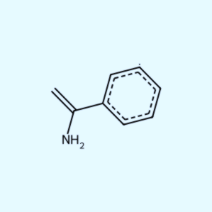 C=C(N)c1c[c]ccc1